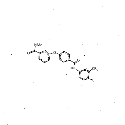 CNC(=O)c1cc(Oc2ccc(C(=O)Nc3ccc(Cl)c(C(F)(F)F)c3)cc2)ccn1